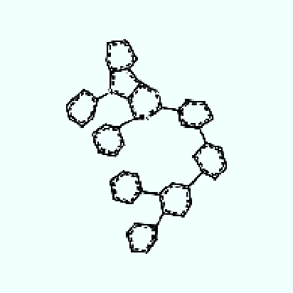 c1ccc(-c2ccc(-c3cccc(-c4cccc(-c5nc(-c6ccccc6)c6c(n5)c5ccccc5n6-c5ccccc5)c4)c3)cc2-c2ccccc2)cc1